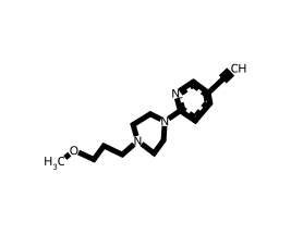 C#Cc1ccc(N2CCN(CCCOC)CC2)nc1